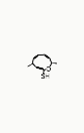 C[C@@H]1/C=C\C=C/[C@H](C)/C=C(/S)O1